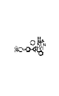 N#CC1(NC(=O)[C@@H]2CCCC[C@H]2c2nn(-c3ccccc3Cl)cc2-c2ccc(N3CCS(=O)(=O)CC3)cc2)CC1